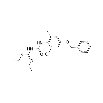 CCN=C(NCC)NC(=O)Nc1c(C)cc(OCc2ccccc2)cc1Cl